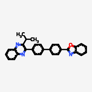 CC(C)c1nc2ccccc2nc1-c1ccc(-c2ccc(-c3nc4ccccc4o3)cc2)cc1